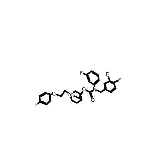 O=C(OC1C[N+]2(CCOc3ccc(F)cc3)CCC1CC2)N(Cc1ccc(F)c(F)c1)c1cccc(F)c1